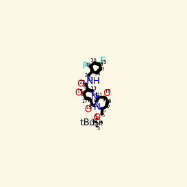 CC(C)(C)[Si](C)(C)OCC1C=CC(=O)C2CN1C(=O)c1cc(=O)c(C(=O)NCc3ccc(F)cc3F)cn12